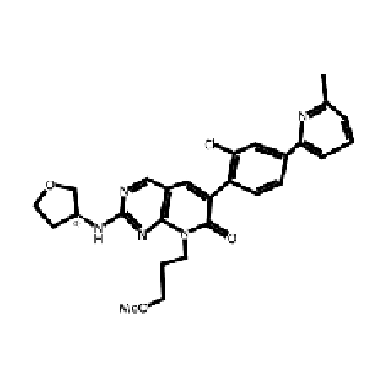 COCCCn1c(=O)c(-c2ccc(-c3cccc(C)n3)cc2Cl)cc2cnc(N[C@H]3CCOC3)nc21